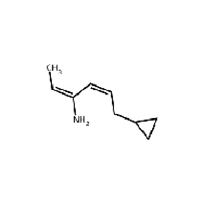 C/C=C(N)\C=C/CC1CC1